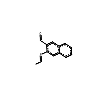 C/C=N/c1cc2ccccc2cc1C=O